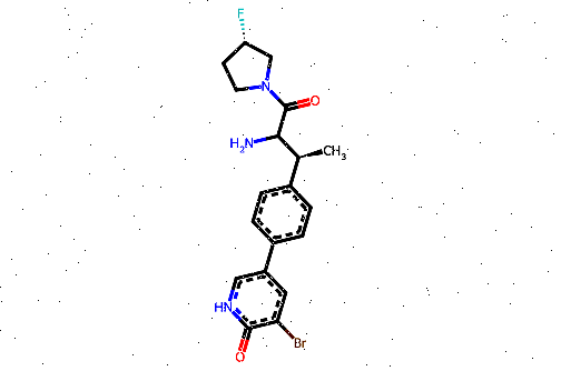 C[C@@H](c1ccc(-c2c[nH]c(=O)c(Br)c2)cc1)C(N)C(=O)N1CC[C@H](F)C1